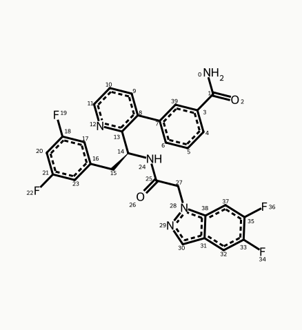 NC(=O)c1cccc(-c2cccnc2[C@H](Cc2cc(F)cc(F)c2)NC(=O)Cn2ncc3cc(F)c(F)cc32)c1